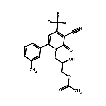 CC(=O)OCC(O)Cn1c(-c2cccc(C)c2)cc(C(F)(F)F)c(C#N)c1=O